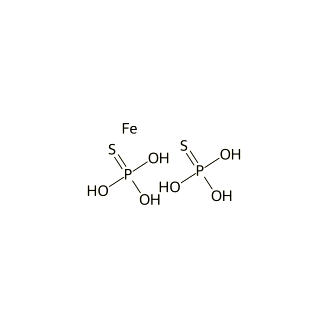 OP(O)(O)=S.OP(O)(O)=S.[Fe]